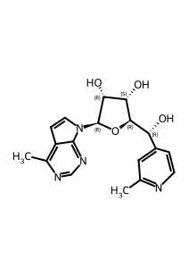 Cc1cc([C@@H](O)[C@H]2O[C@@H](n3ccc4c(C)ncnc43)[C@H](O)[C@@H]2O)ccn1